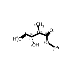 C=C[C@@H](O)[C@@H](C)C(=O)OC(C)C